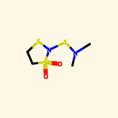 CN(C)SN1SCCS1(=O)=O